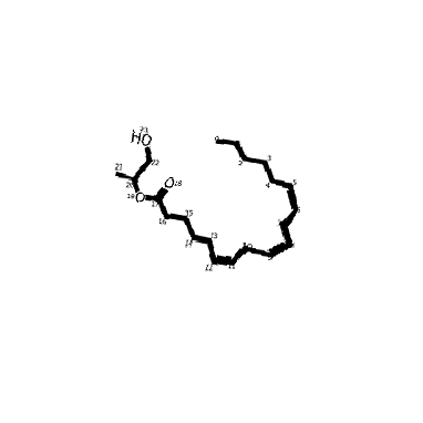 CCCCC/C=C\C/C=C\C/C=C\CCCCC(=O)O[C@@H](C)CO